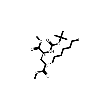 COC(=O)[C@@H](CCCCCCI)C[C@H](NC(=O)OC(C)(C)C)C(=O)OC